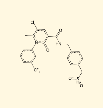 Cc1c(Cl)cc(C(=O)NCc2ccc(C[SH](=O)=O)cc2)c(=O)n1-c1cccc(C(F)(F)F)c1